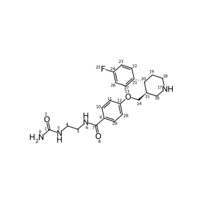 NC(=O)NCCNC(=O)c1ccc(OC[C@@H]2CNCC[C@H]2c2ccc(F)cc2)cc1